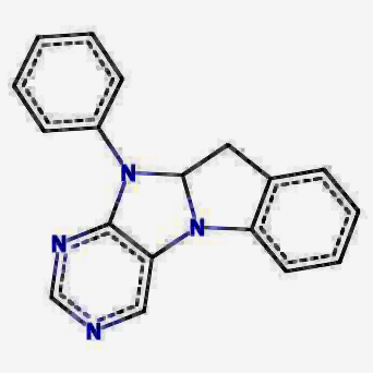 c1ccc(N2c3ncncc3N3c4ccccc4CC32)cc1